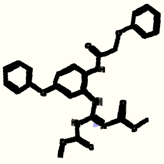 COC(=O)/N=C(/NC(=O)OC)Nc1cc(Oc2ccccc2)ccc1NC(=O)COc1ccccc1